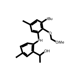 COCOc1c(Pc2ccc(C)cc2C(C)O)cc(C)cc1C(C)(C)C